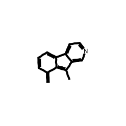 C=c1cccc2c1=C(C)c1cnccc1-2